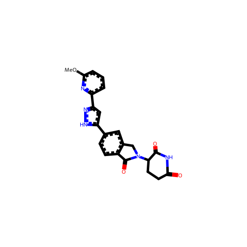 COc1cccc(-c2cc(-c3ccc4c(c3)CN(C3CCC(=O)NC3=O)C4=O)[nH]n2)n1